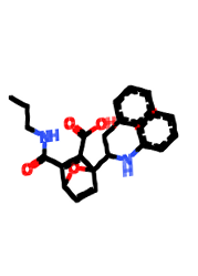 CCCNC(=O)C1=C(C(=O)O)C2(C(Cc3ccccc3)Nc3ccccc3)C=CC1O2